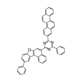 c1ccc(-c2ccc3oc4cc(-c5nc(-c6ccccc6)nc(-c6ccc7c(ccc8c9ccccc9ccc78)c6)n5)c5ccccc5c4c3c2)cc1